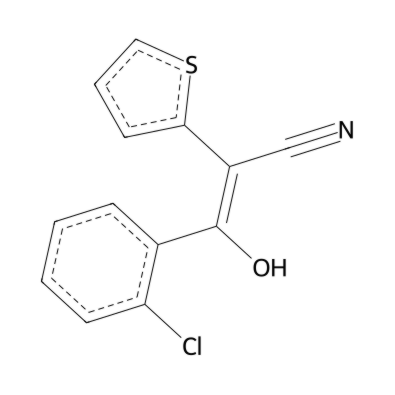 N#C/C(=C(\O)c1ccccc1Cl)c1cccs1